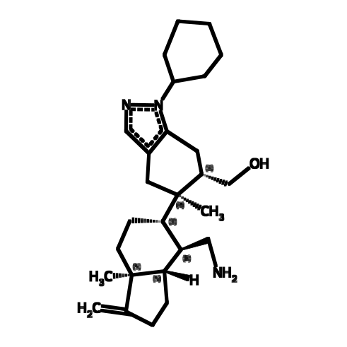 C=C1CC[C@H]2[C@H](CN)[C@@H]([C@@]3(C)Cc4cnn(C5CCCCC5)c4C[C@@H]3CO)CC[C@]12C